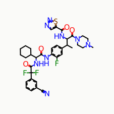 CC(c1ccc(NC(=O)C(NC(=O)C(F)(F)c2cccc(C#N)c2)C2CCCCC2)c(F)c1)C(NC(=O)c1cnns1)C(=O)N1CCN(C)CC1